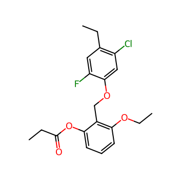 CCOc1cccc(OC(=O)CC)c1COc1cc(Cl)c(CC)cc1F